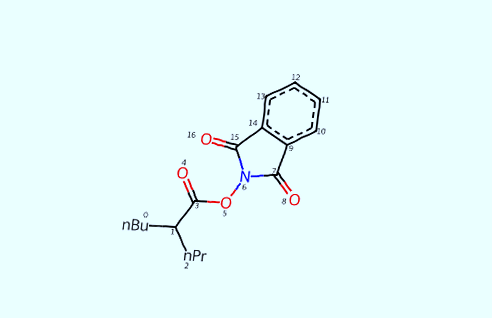 CCCCC(CCC)C(=O)ON1C(=O)c2ccccc2C1=O